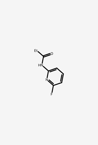 CCC(=O)Nc1cccc(F)n1